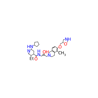 CCC1C=NC(NC2CCCC2)CC1C(=O)NC[C@H](O)CN1CCc2c(ccc(OCC3CNCO3)c2C)C1